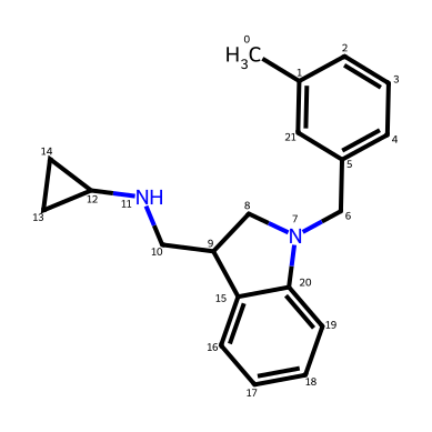 Cc1cccc(CN2CC(CNC3CC3)c3ccccc32)c1